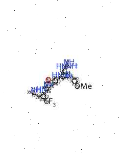 COc1ccc(Cn2cc(C[C@H](NCCCNC(=N)N)c3ccc(-n4cc5cc(-c6cc(CCC[C@H](C)N)cc(C(F)(F)F)c6)[nH]c5nc4=O)cc3)nn2)cc1